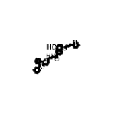 O=C(NCCN1CCC(OC(c2ccccc2)c2ccccc2)CC1)c1ccc2c(OCCCc3ccccn3)ccc(O)c2c1